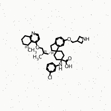 C[C@@H](COc1ccnc2c1[C@H](C)CCC2)C[C@@H]1Cc2ccc(OCC3CNC3)cc2C12CCC(Nc1cccc(Cl)c1)(C(=O)O)CC2